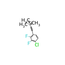 C[Si](C)(C)C#Cc1ccc(Cl)c(F)c1F